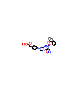 CC(OC(=O)Nc1cnoc1N1CCN(c2ccc(CC(=O)O)cc2)CC1)c1ccccc1